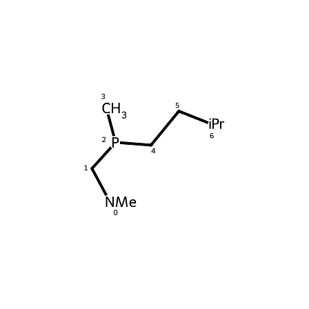 CNCP(C)CCC(C)C